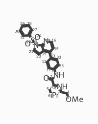 COCCN[C@H](CC(C)C)C(=O)Nc1ccc(-c2ccnc3c2ccn3S(=O)(=O)c2ccccc2)cc1